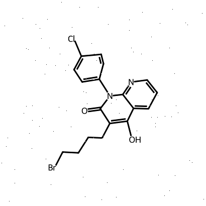 O=c1c(CCCCBr)c(O)c2cccnc2n1-c1ccc(Cl)cc1